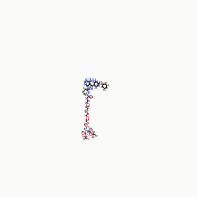 CC(C)(C)OC(=O)N(CCOCCOCCOCCOC/C=C/C(=O)N1CCC[C@@H](n2nc(-c3ccc(Oc4ccccc4)cc3)c3c(N)ncnc32)C1)C(=O)OC(C)(C)C